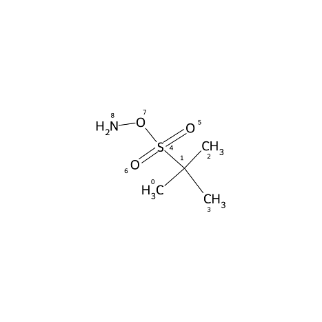 CC(C)(C)S(=O)(=O)ON